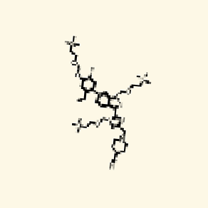 CCc1cc(OCOCC[Si](C)(C)C)c(F)cc1-c1ccc2c(-c3nc(CN4CCC(C#N)CC4)cn3COCC[Si](C)(C)C)nn(COCC[Si](C)(C)C)c2c1